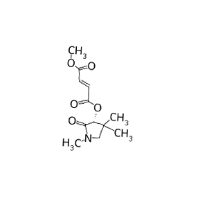 COC(=O)/C=C/C(=O)O[C@H]1C(=O)N(C)CC1(C)C